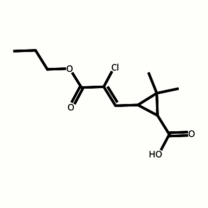 CCCOC(=O)C(Cl)=CC1C(C(=O)O)C1(C)C